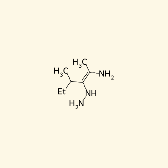 CCC(C)/C(NN)=C(\C)N